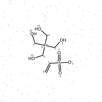 C=CS(=O)(=O)[O-].OC[P+](CO)(CO)CO